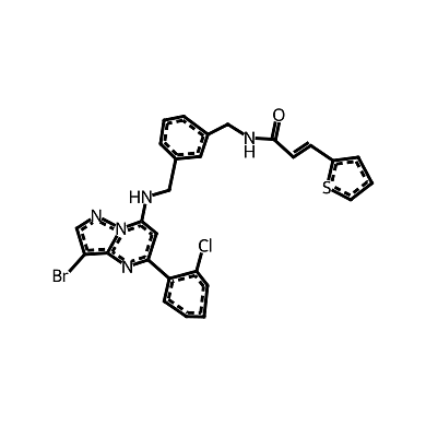 O=C(/C=C/c1cccs1)NCc1cccc(CNc2cc(-c3ccccc3Cl)nc3c(Br)cnn23)c1